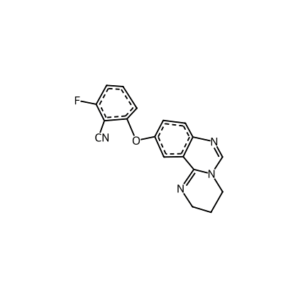 N#Cc1c(F)cccc1Oc1ccc2c(c1)C1=NCCCN1C=N2